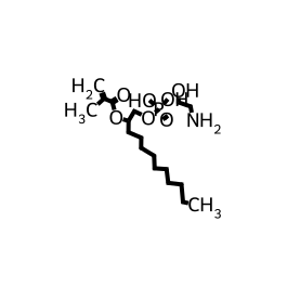 C=C(C)C(=O)OC(CCCCCCCCCC)COP(=O)(O)O.NCCO